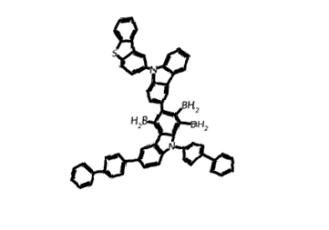 Bc1c(-c2ccc3c(c2)c2ccccc2n3-c2ccc3sc4ccccc4c3c2)c(B)c2c3cc(-c4ccc(-c5ccccc5)cc4)ccc3n(-c3ccc(-c4ccccc4)cc3)c2c1B